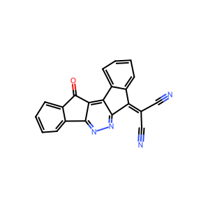 N#CC(C#N)=C1c2ccccc2-c2c1nnc1c2C(=O)c2ccccc2-1